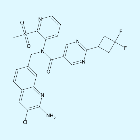 CS(=O)(=O)c1ncccc1N(Cc1ccc2cc(Cl)c(N)nc2c1)C(=O)c1cnc(C2CC(F)(F)C2)nc1